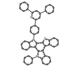 c1ccc(-c2cc(-c3ccccc3)nc(-c3ccc(-n4c5ccccc5c5c4c4sc6ccccc6c4c4c6ccccc6n(-c6ccccc6)c45)cc3)c2)cc1